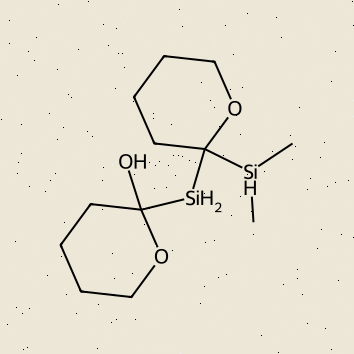 C[SiH](C)C1([SiH2]C2(O)CCCCO2)CCCCO1